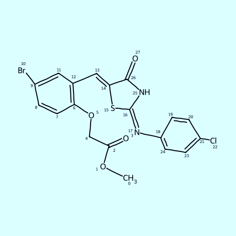 COC(=O)COc1ccc(Br)cc1C=C1SC(=Nc2ccc(Cl)cc2)NC1=O